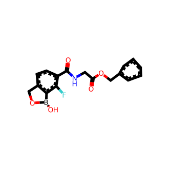 O=C(CNC(=O)c1ccc2c(c1F)B(O)OC2)OCc1ccccc1